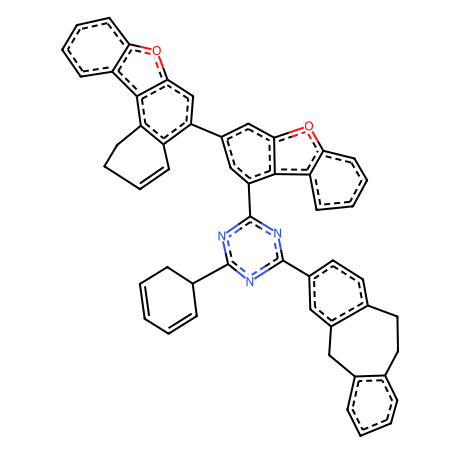 C1=CCC(c2nc(-c3ccc4c(c3)Cc3ccccc3CC4)nc(-c3cc(-c4cc5oc6ccccc6c5c5c4C=CCC5)cc4oc5ccccc5c34)n2)C=C1